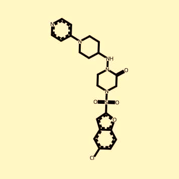 O=C1CN(S(=O)(=O)c2cc3cc(Cl)ccc3o2)CCN1NC1CCN(c2ccncc2)CC1